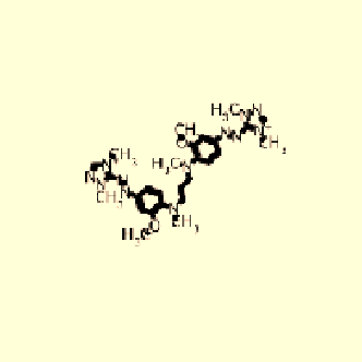 COc1cc(N=Nc2n(C)nc[n+]2C)ccc1N(C)CCCN(C)c1ccc(N=Nc2n(C)nc[n+]2C)cc1OC